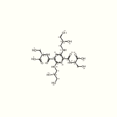 O=C(N[C@H](CO)C(=O)O)c1nc(NC[C@H](O)CO)c(C(=O)N[C@H](CO)C(=O)O)nc1NC[C@H](O)CO